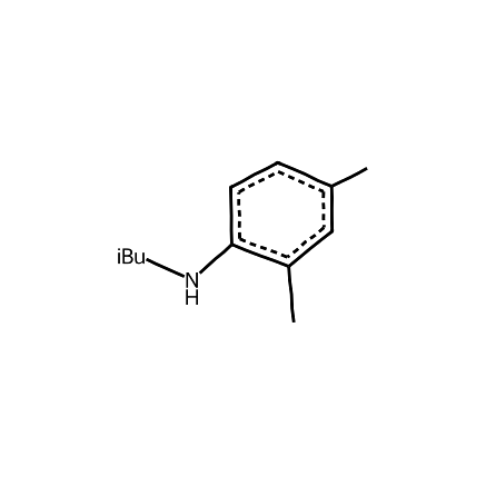 CCC(C)Nc1ccc(C)cc1C